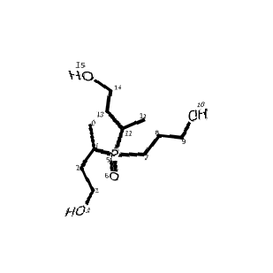 CC(CCO)P(=O)(CCCO)C(C)CCO